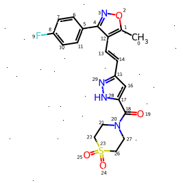 Cc1onc(-c2ccc(F)cc2)c1C=Cc1cc(C(=O)N2CCS(=O)(=O)CC2)[nH]n1